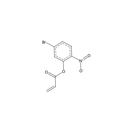 C=CC(=O)Oc1cc(Br)ccc1[N+](=O)[O-]